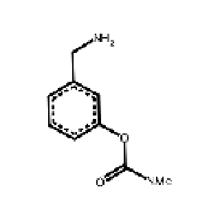 CNC(=O)Oc1cccc(CN)c1